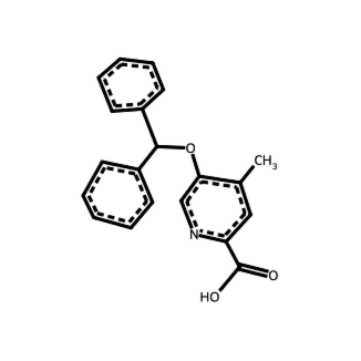 Cc1cc(C(=O)O)ncc1OC(c1ccccc1)c1ccccc1